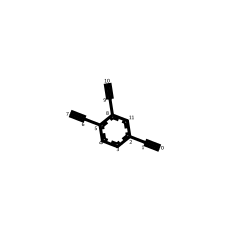 C#Cc1c[c]c(C#C)c(C#C)c1